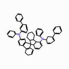 C1=CC(N(C2=CC=CC3C2C2CCCCC2C32C3=C(CCC=C3)c3ccc(N(c4ccccc4)c4cccc(-c5ccccc5)c4)cc32)c2ccccc2)CC(c2ccccc2)=C1